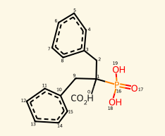 O=C(O)C(Cc1ccccc1)(Cc1ccccc1)P(=O)(O)O